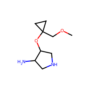 COCC1(OC2CNCC2N)CC1